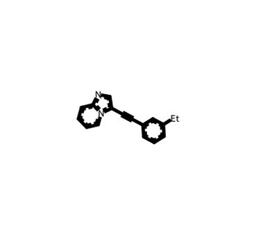 CCc1cccc(C#Cc2cnc3ccccn23)c1